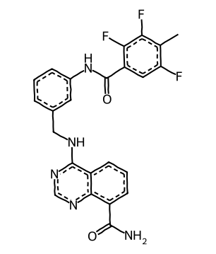 Cc1c(F)cc(C(=O)Nc2cccc(CNc3ncnc4c(C(N)=O)cccc34)c2)c(F)c1F